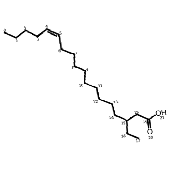 CCCC/C=C\CCCCCCCCCC(CC)CC(=O)O